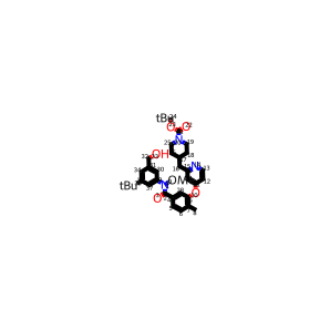 CON(C(=O)c1ccc(C)c(Oc2ccnc(CC3CCN(C(=O)OC(C)(C)C)CC3)c2)c1)c1cc(CO)cc(C(C)(C)C)c1